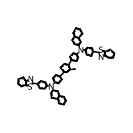 Cc1cc(-c2ccc(N(c3ccc(-c4nc5ccccc5s4)cc3)c3ccc4ccccc4c3)cc2)ccc1-c1ccc(N(c2ccc(-c3nc4ccccc4s3)cc2)c2ccc3ccccc3c2)cc1